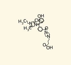 C=CCN1C[C@H](C)N([C@@H](c2cccc(O)c2)c2cccc(C(=O)N3CCN(CCCC(=O)O)CC3)c2)C[C@H]1C